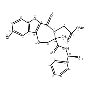 COC(=O)CN1C(=O)c2oc3ccc(Cl)cc3c2OCC1(C)C(=O)N[C@@H](C)c1ccccc1